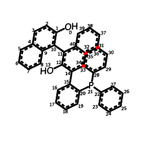 Oc1ccc2ccccc2c1-c1c(O)c(-c2ccccc2P(c2ccccc2)c2ccccc2)cc2ccccc12